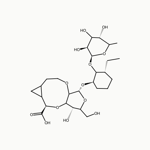 CC[C@@H]1CCC[C@@H](O[C@@H]2OC(CO)[C@H](O)C3O[C@@H](C(=O)O)C4CC4CCOC32)C1O[C@@H]1OC(C)[C@@H](O)C(O)[C@@H]1O